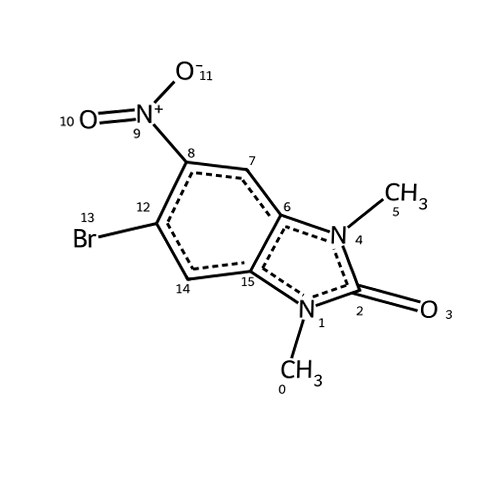 Cn1c(=O)n(C)c2cc([N+](=O)[O-])c(Br)cc21